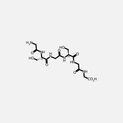 NCC(=O)N[C@@H](CO)C(=O)NCC(=O)N[C@@H](CO)C(=O)NCC(=O)NCC(=O)O